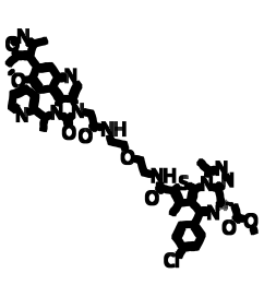 COC(=O)C[C@@H]1N=C(c2ccc(Cl)cc2)c2c(sc(C(=O)NCCOCCNC(=O)Cn3c(=O)n(C(C)c4ccccn4)c4c5cc(OC)c(-c6c(C)noc6C)cc5ncc43)c2C)-n2c(C)nnc21